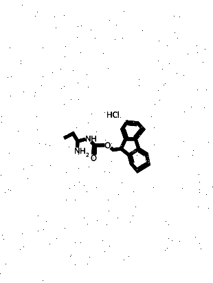 CCC(N)NC(=O)OCC1c2ccccc2-c2ccccc21.Cl